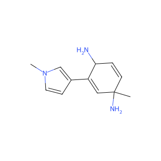 Cn1ccc(C2=CC(C)(N)C=CC2N)c1